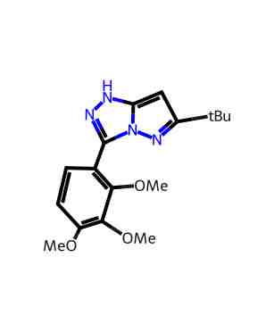 COc1ccc(-c2n[nH]c3cc(C(C)(C)C)nn23)c(OC)c1OC